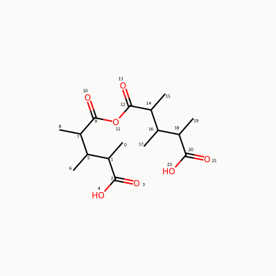 CC(C(=O)O)C(C)C(C)C(=O)OC(=O)C(C)C(C)C(C)C(=O)O